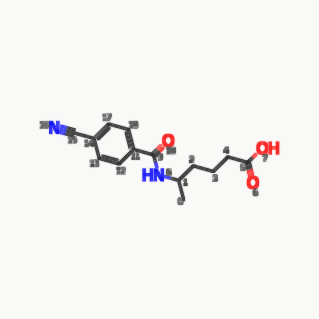 CC(CCCC(=O)O)NC(=O)c1ccc(C#N)cc1